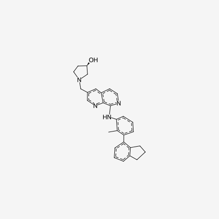 Cc1c(Nc2nccc3cc(CN4CC[C@@H](O)C4)cnc23)cccc1-c1cccc2c1CCC2